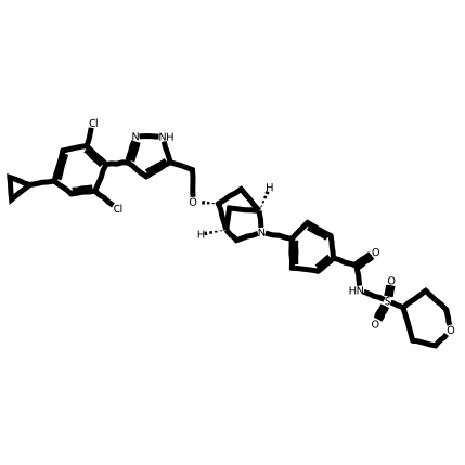 O=C(NS(=O)(=O)C1CCOCC1)c1ccc(N2C[C@@H]3C[C@H]2C[C@H]3OCc2cc(-c3c(Cl)cc(C4CC4)cc3Cl)n[nH]2)cc1